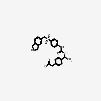 CC(NC(=O)Nc1ccc(S(=O)(=O)Cc2ccc3c(c2)CNC3)cc1)c1ccc(CC(=O)O)cc1